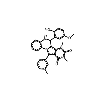 COc1ccc(O)c(C2Nc3ccccc3-n3c(-c4cccc(C)c4)c4c(=O)n(C)c(=O)n(C)c4c32)c1